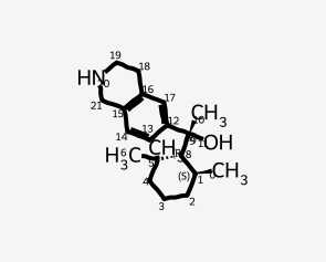 C[C@H]1CCCC(C)(C)[C@@H]1[C@@](C)(O)c1ccc2c(c1)CCNC2